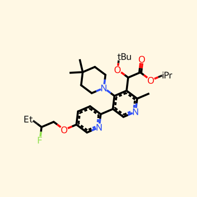 CCC(F)COc1ccc(-c2cnc(C)c(C(OC(C)(C)C)C(=O)OC(C)C)c2N2CCC(C)(C)CC2)nc1